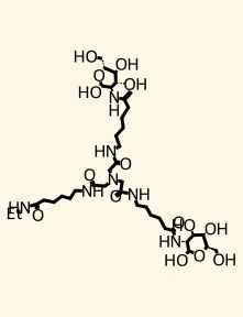 C=C(CCCCCNC(=O)CN(CC(=O)NCCCCCC(=O)NCC)CC(=O)NCCCCCC(=O)N[C@H]1C(O)O[C@H](CO)[C@@H](O)[C@@H]1O)N[C@H]1C(O)O[C@H](CO)[C@@H](O)[C@@H]1O